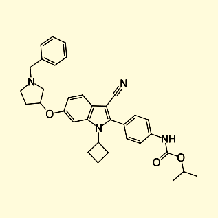 CC(C)OC(=O)Nc1ccc(-c2c(C#N)c3ccc(OC4CCN(Cc5ccccc5)C4)cc3n2C2CCC2)cc1